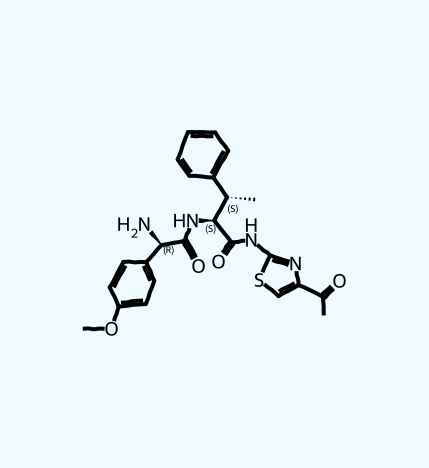 COc1ccc([C@@H](N)C(=O)N[C@H](C(=O)Nc2nc(C(C)=O)cs2)[C@@H](C)c2ccccc2)cc1